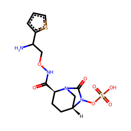 NC(CONC(=O)[C@@H]1CC[C@@H]2CN1C(=O)N2OS(=O)(=O)O)c1cccs1